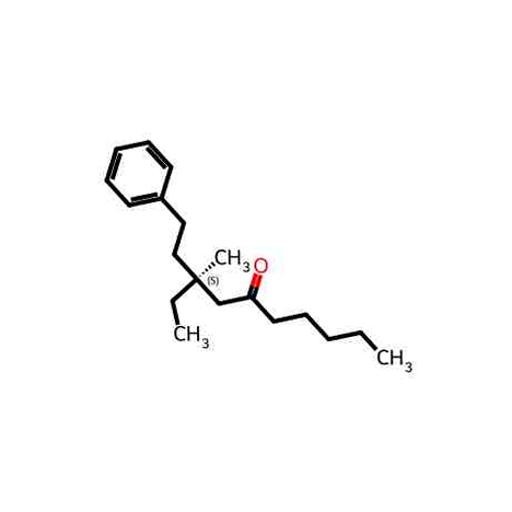 CCCCCC(=O)C[C@@](C)(CC)CCc1ccccc1